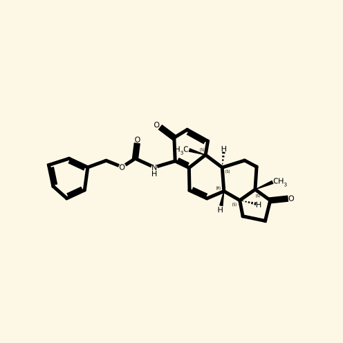 C[C@]12C=CC(=O)C(NC(=O)OCc3ccccc3)=C1C=C[C@@H]1[C@@H]2CC[C@]2(C)C(=O)CC[C@@H]12